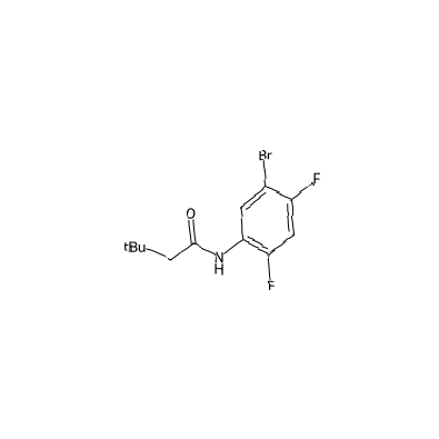 CC(C)(C)CC(=O)Nc1cc(Br)c(F)cc1F